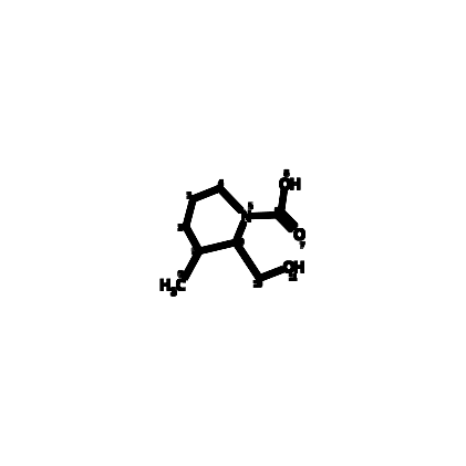 CC1CCCN(C(=O)O)C1CO